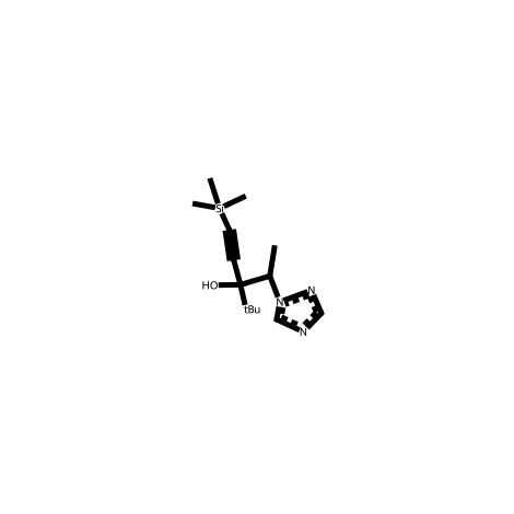 CC(n1cncn1)C(O)(C#C[Si](C)(C)C)C(C)(C)C